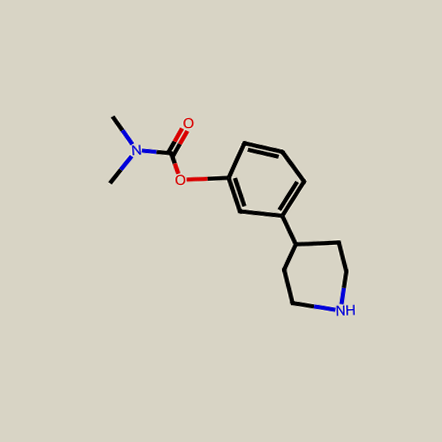 CN(C)C(=O)Oc1cccc(C2CCNCC2)c1